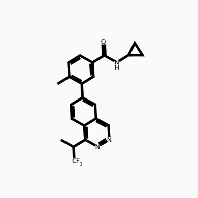 Cc1ccc(C(=O)NC2CC2)cc1-c1ccc2c(C(C)C(F)(F)F)nncc2c1